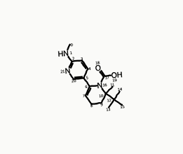 CNc1ccc(C2=CCCC(C)(C(C)(C)C)N2C(=O)O)cn1